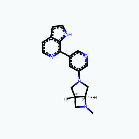 CN1C[C@@H]2CN(c3cncc(-c4nccc5cc[nH]c45)c3)C[C@H]21